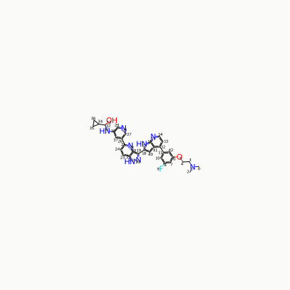 CN(C)CCOc1cc(F)cc(-c2ccnc3[nH]c(-c4n[nH]c5ccc(-c6cncc(NC(O)C7CC7)c6)nc45)cc23)c1